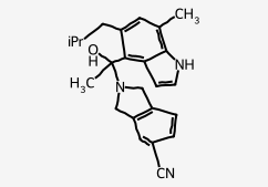 Cc1cc(CC(C)C)c(C(C)(O)N2Cc3ccc(C#N)cc3C2)c2cc[nH]c12